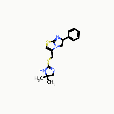 CC1(C)CN=C(SCC2=CSC3=NC(c4ccccc4)CN23)N1